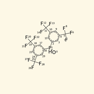 O=[PH](c1cc(C(F)(F)F)cc(C(F)(F)F)c1)c1cc(C(F)(F)F)cc(C(F)(F)F)c1